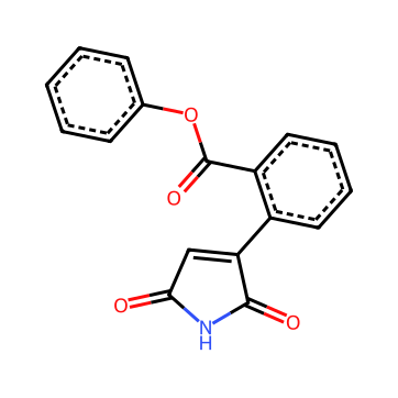 O=C1C=C(c2ccccc2C(=O)Oc2ccccc2)C(=O)N1